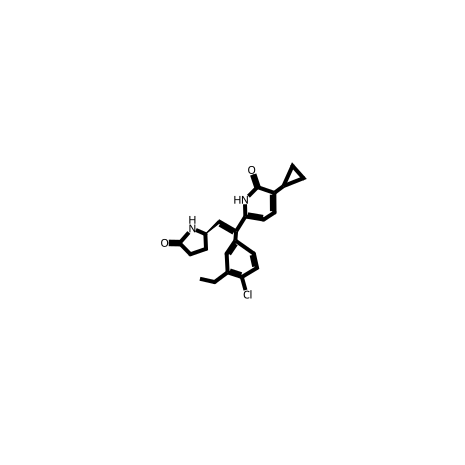 CCc1cc(/C(=C\[C@H]2CCC(=O)N2)c2ccc(C3CC3)c(=O)[nH]2)ccc1Cl